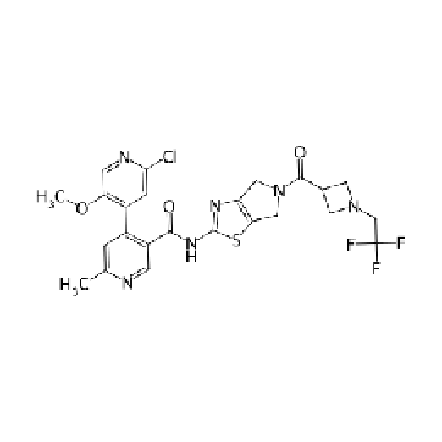 COc1cnc(Cl)cc1-c1cc(C)ncc1C(=O)Nc1nc2c(s1)CN(C(=O)C1CN(CC(F)(F)F)C1)C2